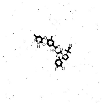 Cc1cc(Oc2ccc(C(=O)N[C@H](C)C(=O)N3[C@H](C4(C)C=C(Cl)C(F)=CC4)CC[C@@H]3C(C)(C)C#N)cc2C)c(=O)[nH]n1